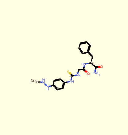 NC(=O)[C@H](Cc1ccccc1)NC(=O)CNC(=S)Nc1ccc(NNC=O)cc1